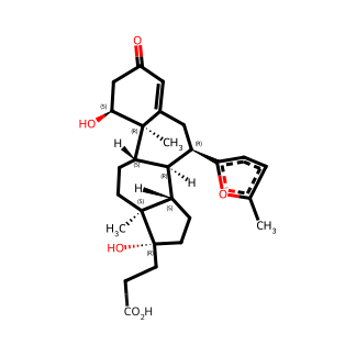 Cc1ccc([C@@H]2CC3=CC(=O)C[C@H](O)[C@]3(C)[C@H]3CC[C@@]4(C)[C@@H](CC[C@@]4(O)CCC(=O)O)[C@H]23)o1